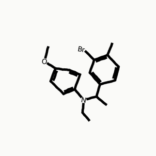 CCN(c1ccc(OC)cc1)C(C)c1ccc(C)c(Br)c1